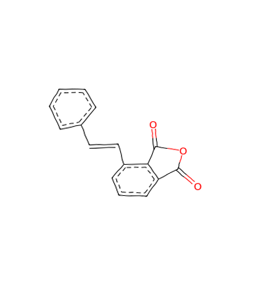 O=C1OC(=O)c2c(C=Cc3ccccc3)cccc21